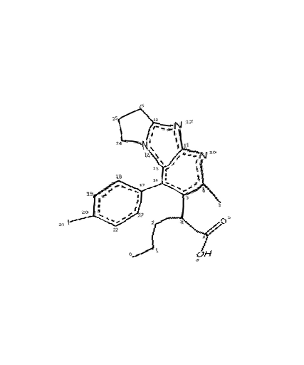 CCCC(C(=O)O)c1c(C)nc2nc3n(c2c1-c1ccc(I)cc1)CCC3